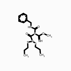 CCCSN(SCCC)C(=O)N(C(=N)OC)C(=O)NCc1ccccc1